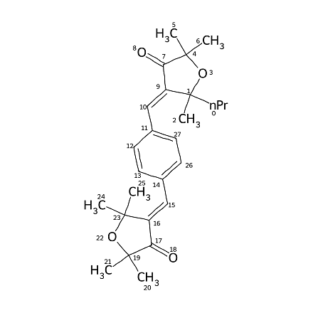 CCCC1(C)OC(C)(C)C(=O)/C1=C/c1ccc(/C=C2/C(=O)C(C)(C)OC2(C)C)cc1